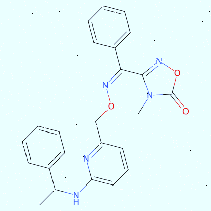 CC(Nc1cccc(CO/N=C(/c2ccccc2)c2noc(=O)n2C)n1)c1ccccc1